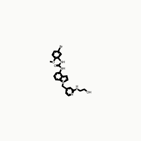 COc1ccc(Br)cc1NC(=O)Nc1cccc2c1ccn2Cc1ccnc(NCCO)c1